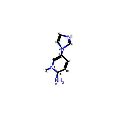 CN1C=C(n2ccnc2)C=CC1N